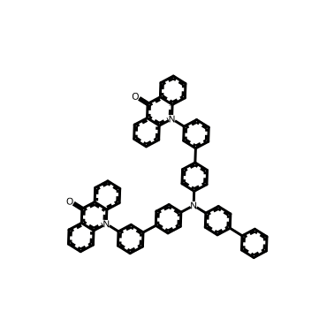 O=c1c2ccccc2n(-c2cccc(-c3ccc(N(c4ccc(-c5ccccc5)cc4)c4ccc(-c5cccc(-n6c7ccccc7c(=O)c7ccccc76)c5)cc4)cc3)c2)c2ccccc12